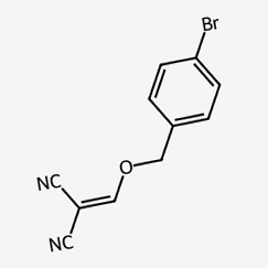 N#CC(C#N)=COCc1ccc(Br)cc1